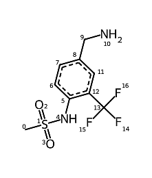 CS(=O)(=O)Nc1ccc(CN)cc1C(F)(F)F